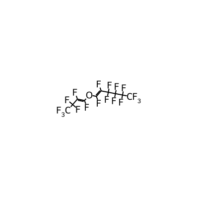 FC(OC(F)=C(F)C(F)(F)C(F)(F)C(F)(F)C(F)(F)F)=C(F)C(F)(F)C(F)(F)F